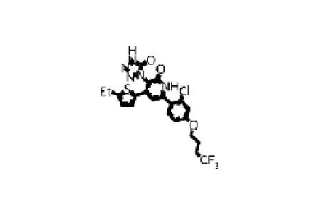 CCc1ccc(-c2cc(-c3ccc(OCCCC(F)(F)F)cc3Cl)[nH]c(=O)c2-n2nn[nH]c2=O)s1